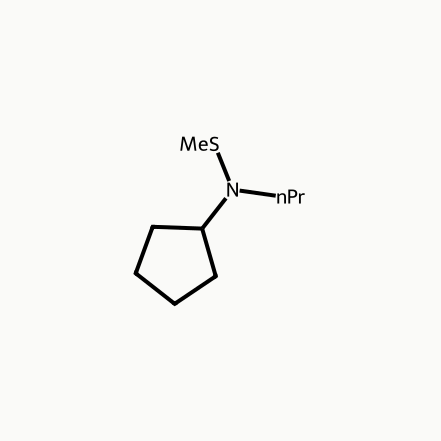 CCCN(SC)C1CCCC1